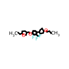 CCCCOC1CCC(c2ccc(OCC3CCC(CCC)OC3)c(F)c2C(F)F)CC1